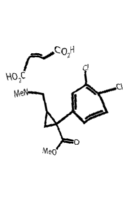 CNCC1CC1(C(=O)OC)c1ccc(Cl)c(Cl)c1.O=C(O)C=CC(=O)O